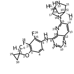 CC1(Oc2ccc(Nc3ncnc4ccc(N5C[C@@H]6C[C@H]5CN6)nc34)c(F)c2F)CC1